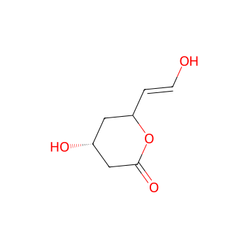 O=C1C[C@H](O)CC(/C=C/O)O1